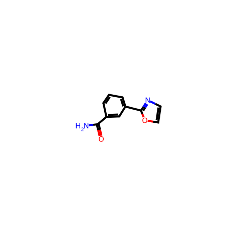 NC(=O)c1cccc(-c2ncco2)c1